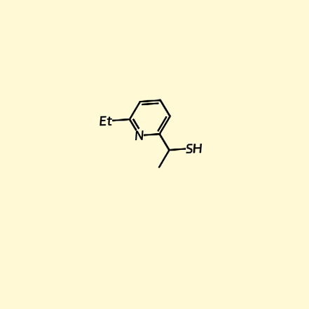 CCc1cccc(C(C)S)n1